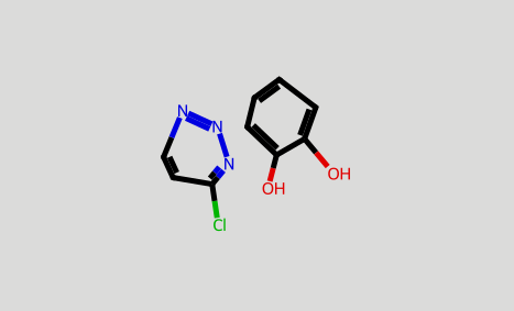 Clc1ccnnn1.Oc1ccccc1O